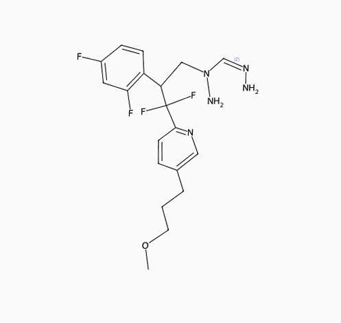 COCCCc1ccc(C(F)(F)C(CN(N)/C=N\N)c2ccc(F)cc2F)nc1